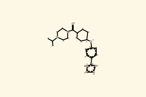 CC(C)N1CCN(C(=O)C2CCC(Oc3ccc(-c4nnn[nH]4)cc3)CC2)CC1